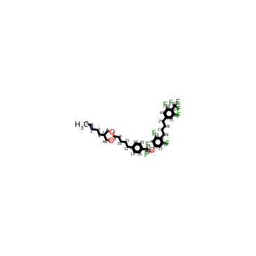 C/C=C/CCC1COC(CCCCc2ccc(C(F)(F)Oc3cc(F)c(CCCCc4cc(F)c(C(F)(F)F)c(F)c4)c(F)c3)cc2)OC1